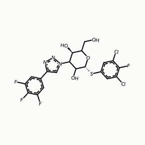 OCC1O[C@H](Sc2cc(Cl)c(F)c(Cl)c2)C(O)C(n2cc(-c3cc(F)c(F)c(F)c3)nn2)[C@H]1O